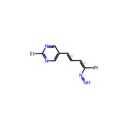 CCc1ncc(/C=C/C=C(\N=N)C(C)C)cn1